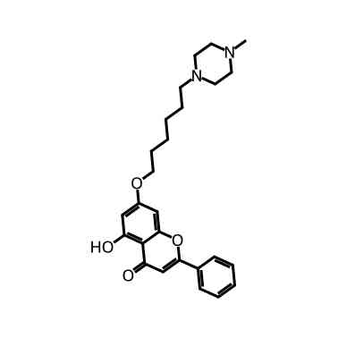 CN1CCN(CCCCCCOc2cc(O)c3c(=O)cc(-c4ccccc4)oc3c2)CC1